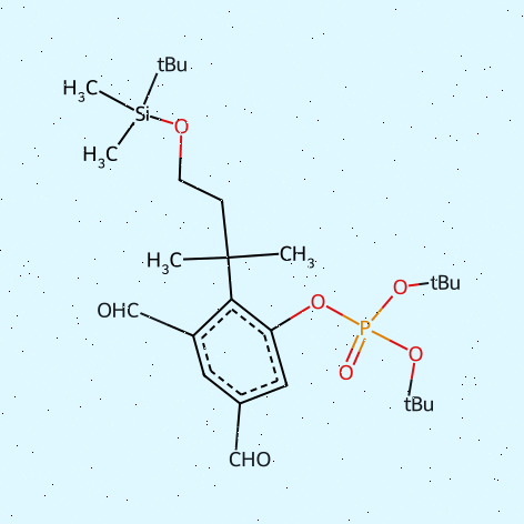 CC(C)(C)OP(=O)(Oc1cc(C=O)cc(C=O)c1C(C)(C)CCO[Si](C)(C)C(C)(C)C)OC(C)(C)C